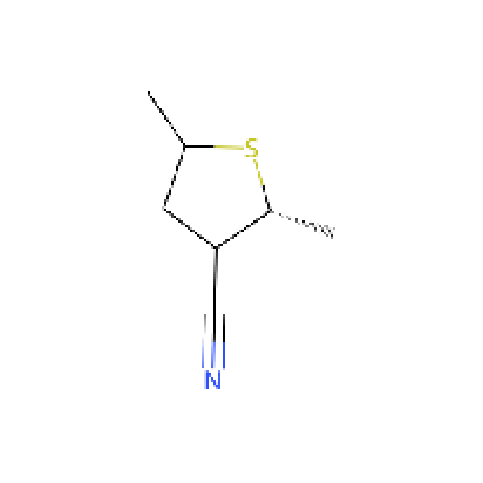 CC1CC(C#N)[C@@H](C)S1